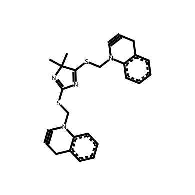 CC1(C)N=C(SCN2C#CCc3ccccc32)N=C1SCN1C#CCc2ccccc21